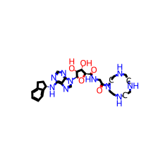 O=C(NCC(=O)N1CCNCCNCCNCC1)[C@H]1O[C@@H](n2cnc3c(N[C@H]4CCc5ccccc54)ncnc32)[C@H](O)[C@@H]1O